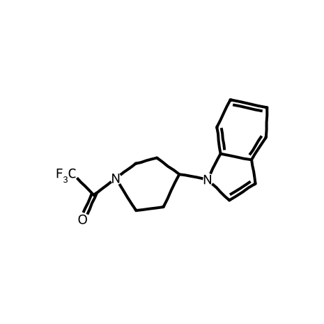 O=C(N1CCC(n2ccc3ccccc32)CC1)C(F)(F)F